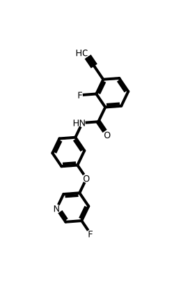 C#Cc1cccc(C(=O)Nc2cccc(Oc3cncc(F)c3)c2)c1F